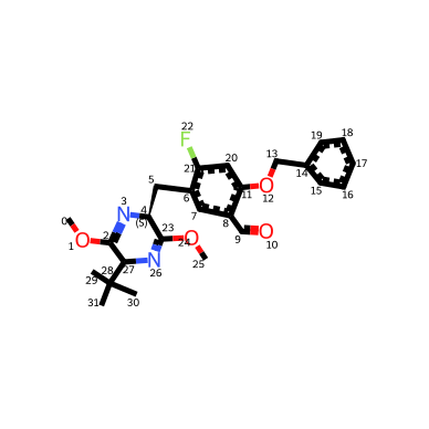 COC1=N[C@@H](Cc2cc(C=O)c(OCc3ccccc3)cc2F)C(OC)=NC1C(C)(C)C